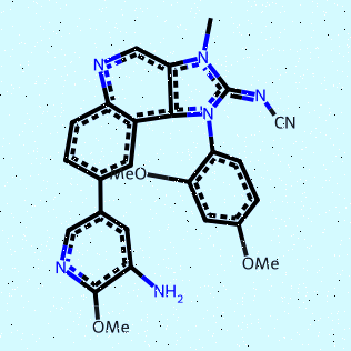 COc1ccc(-n2c(=NC#N)n(C)c3cnc4ccc(-c5cnc(OC)c(N)c5)cc4c32)c(OC)c1